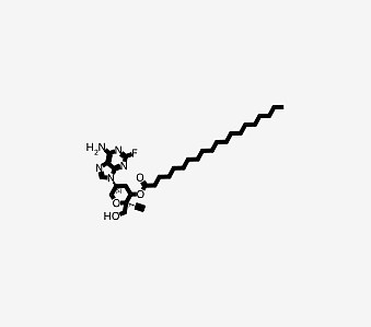 C#C[C@]1(CO)OC[C@@H](n2cnc3c(N)nc(F)nc32)CC1OC(=O)CCCCCCCCCCCCCCCCCCC